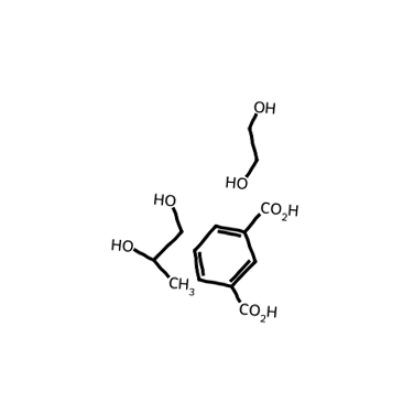 CC(O)CO.O=C(O)c1cccc(C(=O)O)c1.OCCO